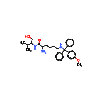 COc1ccc(C(NCCCCC(N)C(=O)NC(CO)C(C)C)(c2ccccc2)c2ccccc2)cc1